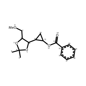 COCC1OC(C)(C)OC1C1CC1OC(=O)c1ccccc1